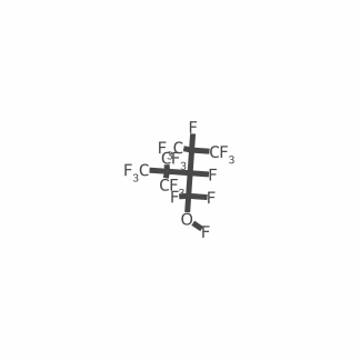 FOC(F)(F)C(F)(C(F)(C(F)(F)F)C(F)(F)F)C(C(F)(F)F)(C(F)(F)F)C(F)(F)F